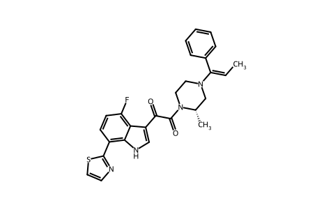 CC=C(c1ccccc1)N1CCN(C(=O)C(=O)c2c[nH]c3c(-c4nccs4)ccc(F)c23)[C@@H](C)C1